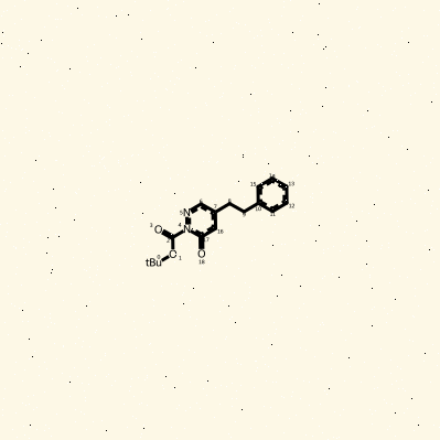 CC(C)(C)OC(=O)n1ncc(CCc2ccccc2)cc1=O